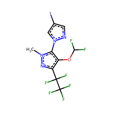 Cn1nc(C(F)(F)C(F)(F)F)c(OC(F)F)c1-n1cc(I)cn1